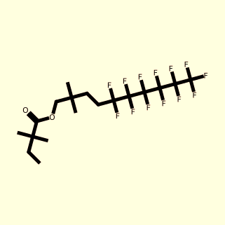 CCC(C)(C)C(=O)OCC(C)(C)CCC(F)(F)C(F)(F)C(F)(F)C(F)(F)C(F)(F)C(F)(F)F